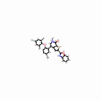 CC(=O)c1ccc(Oc2c(C)cc(F)cc2C)c(-c2cn(C)c(=O)c3sc(-c4nc5ccccc5o4)cc23)c1